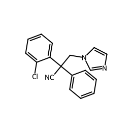 N#CC(Cn1ccnc1)(c1ccccc1)c1ccccc1Cl